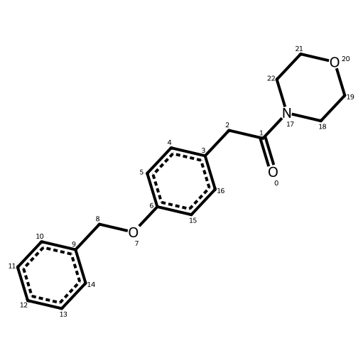 O=C(Cc1ccc(OCc2ccccc2)cc1)N1CCOCC1